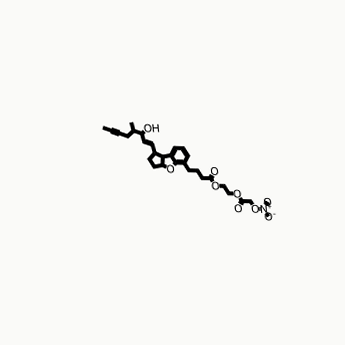 CC#CCC(C)C(O)/C=C/C1CCC2Oc3c(CCCC(=O)OCCOC(=O)CO[N+](=O)[O-])cccc3C12